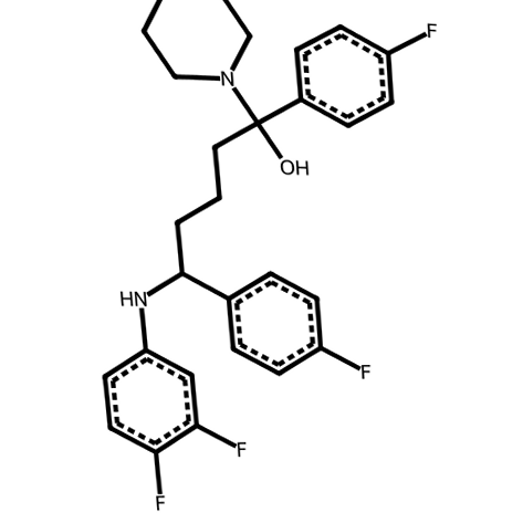 OC(CCCC(Nc1ccc(F)c(F)c1)c1ccc(F)cc1)(c1ccc(F)cc1)N1CCCCC1